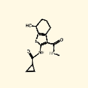 CNC(=O)c1c(NC(=O)C2CC2)sc2c1CCCC2O